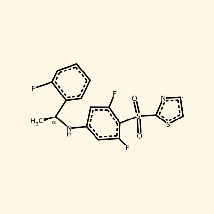 C[C@H](Nc1cc(F)c(S(=O)(=O)c2n[c]cs2)c(F)c1)c1ccccc1F